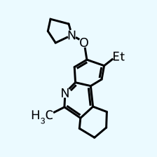 CCc1cc2c3c(c(C)nc2cc1ON1CCCC1)CCCC3